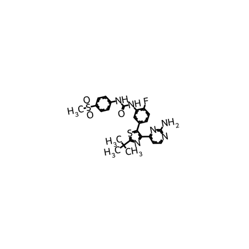 CC(C)(C)c1nc(-c2ccnc(N)n2)c(-c2ccc(F)c(NC(=O)Nc3ccc(S(C)(=O)=O)cc3)c2)s1